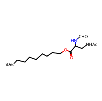 CCCCCCCCCCCCCCCCCCOC(=O)C(CNC(C)=O)NC=O